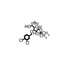 CCCC[C@H](O)[C@H]1O[C@@H]2OC(C)(C)O[C@@H]2[C@H]1OCc1ccc(Cl)c(Cl)c1